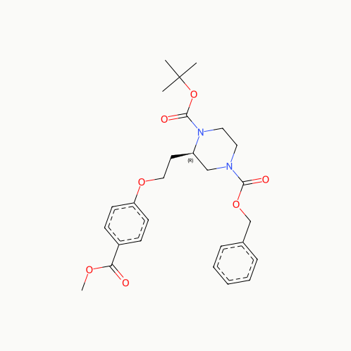 COC(=O)c1ccc(OCC[C@@H]2CN(C(=O)OCc3ccccc3)CCN2C(=O)OC(C)(C)C)cc1